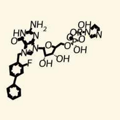 Nc1nc2c(c(=O)[nH]1)[n+](Cc1ccc(-c3ccccc3)cc1F)cn2C1OC(COP(=O)(O)OP(=O)(O)n2ccnc2)[C@H](O)[C@@H]1O